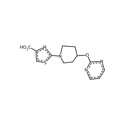 O=C(O)c1csc(N2CCC(Oc3ncccn3)CC2)n1